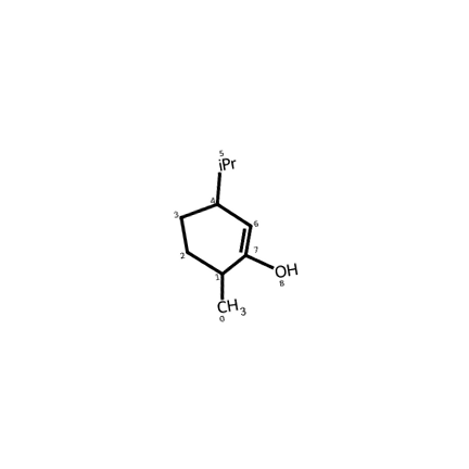 CC1CCC(C(C)C)C=C1O